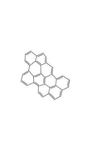 c1cc2ccc3ccc4c5cccc6c7cccc8ccc9cc%10c(c1)c2c3c4c%10c(c65)c9c87